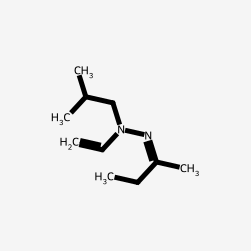 C=CN(CC(C)C)/N=C(/C)CC